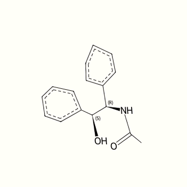 CC(=O)N[C@H](c1ccccc1)[C@@H](O)c1ccccc1